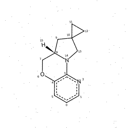 c1cnc2c(c1)OC[C@@H]1CC3(CC3)CN21